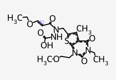 CCO/C=C/C(=O)N(Cc1sc2c(c1C)c(=O)n(CC)c(=O)n2CCOC)NC(=O)O